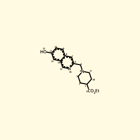 CCOC(=O)C1CCN(Cc2cc3ccc(O)cc3cn2)CC1